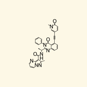 Cc1nn2cccnc2c1C(=O)N[C@@H](C)c1nc2cccc(C#Cc3ccc(=O)n(C)c3)c2c(=O)n1-c1ccccc1